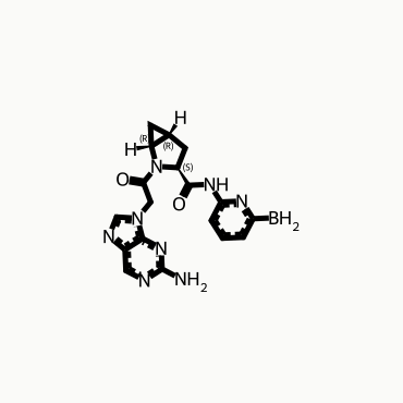 Bc1cccc(NC(=O)[C@@H]2C[C@H]3C[C@H]3N2C(=O)Cn2cnc3cnc(N)nc32)n1